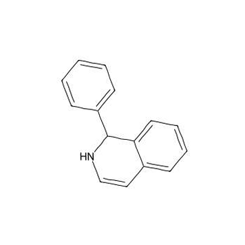 C1=Cc2ccccc2C(c2ccccc2)N1